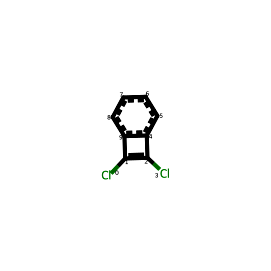 ClC1=C(Cl)c2ccccc21